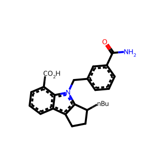 CCCCC1CCc2c1n(Cc1cccc(C(N)=O)c1)c1c(C(=O)O)cccc21